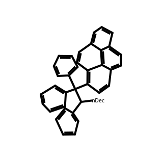 CCCCCCCCCCC(c1ccccc1)C(c1ccccc1)(c1ccccc1)c1ccc2ccc3cccc4ccc1c2c34